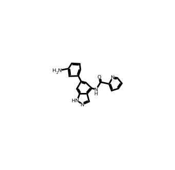 Nc1cccc(-c2cc(NC(=O)c3ccccn3)c3cn[nH]c3c2)c1